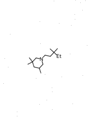 CCC(C)(C)CCN1CC(C)CC(C)(C)C1